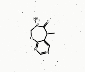 CN1C(=O)[C@@H](N)COc2ncncc21